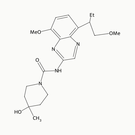 CCC(COC)c1ccc(OC)c2nc(NC(=O)N3CCC(C)(O)CC3)cnc12